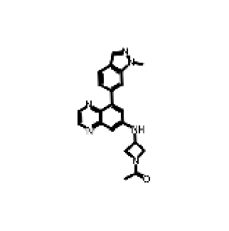 CC(=O)N1CC(Nc2cc(-c3ccc4cnn(C)c4c3)c3nccnc3c2)C1